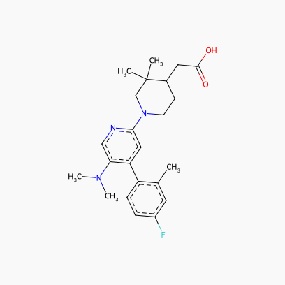 Cc1cc(F)ccc1-c1cc(N2CCC(CC(=O)O)C(C)(C)C2)ncc1N(C)C